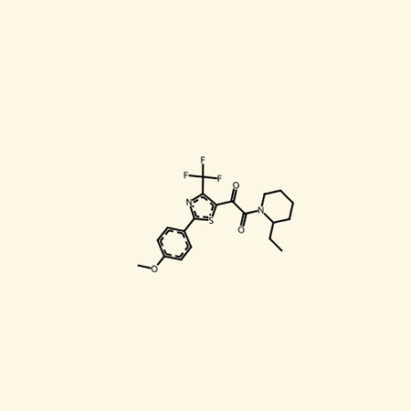 CCC1CCCCN1C(=O)C(=O)c1sc(-c2ccc(OC)cc2)nc1C(F)(F)F